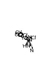 COc1ccc(Cl)c(CN2Cc3nc(Cl)nc(N4CCN[C@@H](CC#N)C4)c3C2)c1